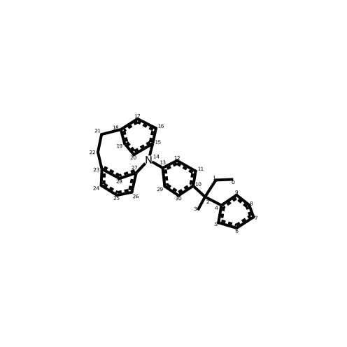 CCC(C)(c1ccccc1)c1ccc(N2c3ccc(cc3)CCc3cccc2c3)cc1